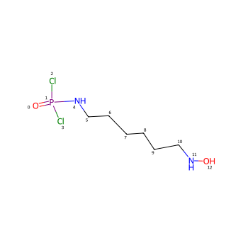 O=P(Cl)(Cl)NCCCCCCNO